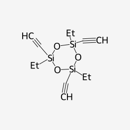 C#C[Si]1(CC)O[Si](C#C)(CC)O[Si](C#C)(CC)O1